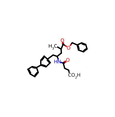 CC(CC(Cc1ccc(-c2ccccc2)cc1)NC(=O)CCC(=O)O)C(=O)OCc1ccccc1